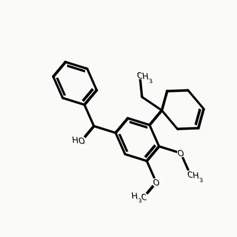 CCC1(c2cc(C(O)c3ccccc3)cc(OC)c2OC)CC=CCC1